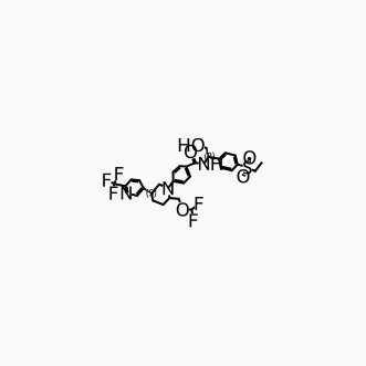 CCS(=O)(=O)c1ccc([C@H](CO)NC(=O)c2ccc(N3C[C@H](c4ccc(C(F)(F)F)nc4)CCC3COC(F)F)cc2)cc1